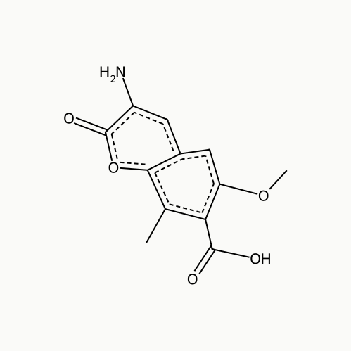 COc1cc2cc(N)c(=O)oc2c(C)c1C(=O)O